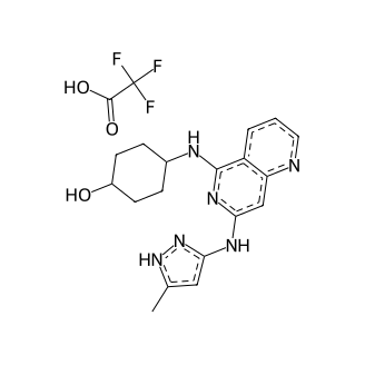 Cc1cc(Nc2cc3ncccc3c(NC3CCC(O)CC3)n2)n[nH]1.O=C(O)C(F)(F)F